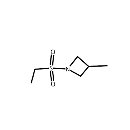 CCS(=O)(=O)N1CC(C)C1